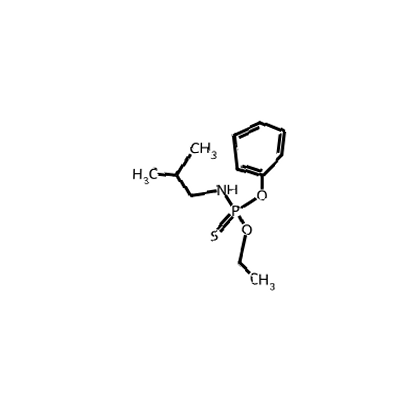 CCOP(=S)(NCC(C)C)Oc1ccccc1